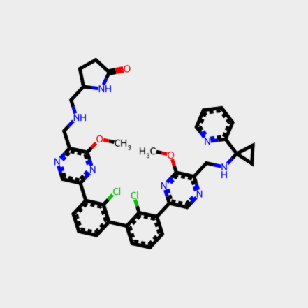 COc1nc(-c2cccc(-c3cccc(-c4cnc(CNC5(c6ccccn6)CC5)c(OC)n4)c3Cl)c2Cl)cnc1CNCC1CCC(=O)N1